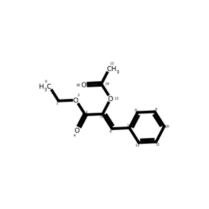 CCOC(=O)C(=Cc1ccccc1)OC(C)=O